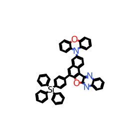 c1ccc([Si](c2ccccc2)(c2ccccc2)c2ccc(-c3cc4cc(N5c6ccccc6Oc6ccccc65)ccc4c4c3oc3nc5ccccc5nc34)cc2)cc1